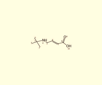 CC(C)(C)NCC=CC(=O)O